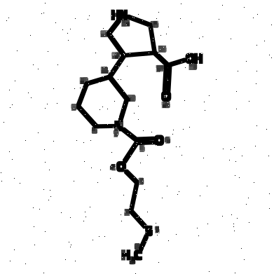 CSCCOC(=O)N1CCCC(C2CNCC2C(=O)O)C1